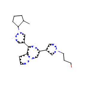 CC1CCCC1n1cc(-c2nc(-c3cnn(CCCO)c3)cn3nccc23)cn1